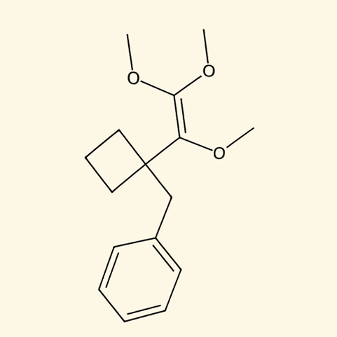 COC(OC)=C(OC)C1(Cc2ccccc2)CCC1